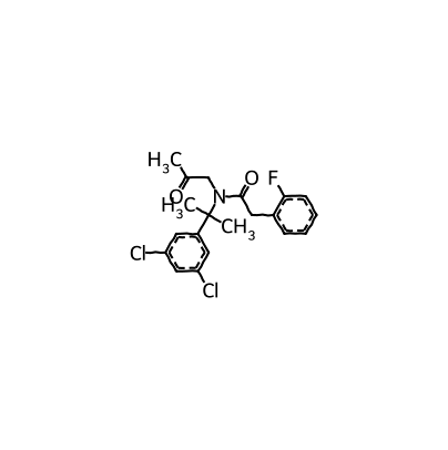 CC(=O)CN(C(=O)Cc1ccccc1F)C(C)(C)c1cc(Cl)cc(Cl)c1